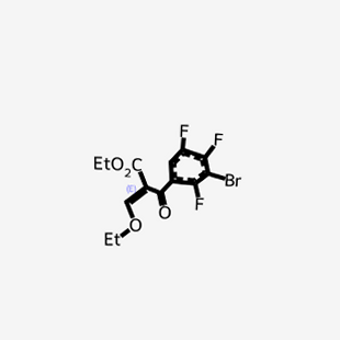 CCO/C=C(/C(=O)OCC)C(=O)c1cc(F)c(F)c(Br)c1F